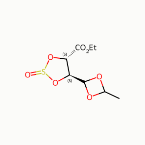 CCOC(=O)[C@H]1OS(=O)O[C@@H]1C1OC(C)O1